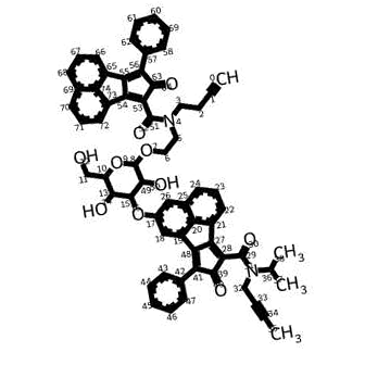 C#CCCN(CCOC1OC(CO)C(O)C(Oc2cc3c4c(cccc4c2)C2=C(C(=O)N(CC#CC)C(C)C)C(=O)C(c4ccccc4)=C23)C1O)C(=O)C1=C2C(=C(c3ccccc3)C1=O)c1cccc3cccc2c13